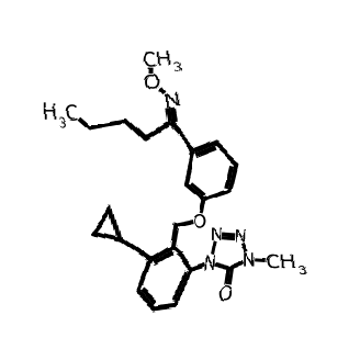 CCCC/C(=N\OC)c1cccc(OCc2c(C3CC3)cccc2-n2nnn(C)c2=O)c1